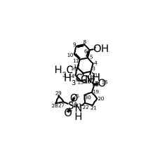 CC1(C)[C@H]2Cc3c(O)cccc3[C@]1(C)CCN2C(=O)C1CCC(NS(=O)(=O)C2CC2)C1